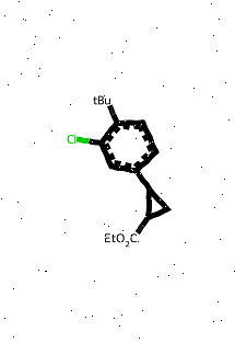 CCOC(=O)C1CC1c1ccc(C(C)(C)C)c(Cl)c1